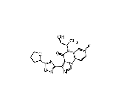 CC(CO)n1c(=O)c2c(-c3noc(C4CCCO4)n3)ncn2c2ccc(F)cc21